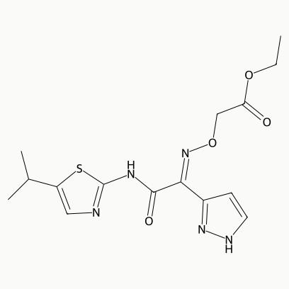 CCOC(=O)CON=C(C(=O)Nc1ncc(C(C)C)s1)c1cc[nH]n1